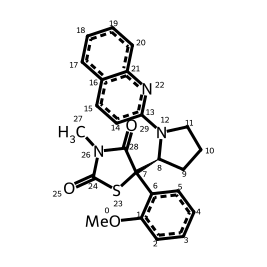 COc1ccccc1C1([C@@H]2CCCN2c2ccc3ccccc3n2)SC(=O)N(C)C1=O